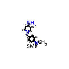 CSN(C)c1ccc(CN2CCC(N)CC2)cc1